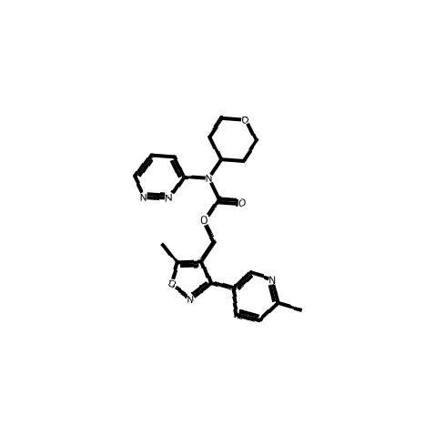 Cc1ccc(-c2noc(C)c2COC(=O)N(c2cccnn2)C2CCOCC2)cn1